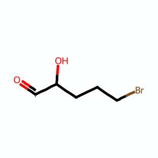 O=[C]C(O)CCCBr